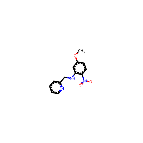 COc1ccc([N+](=O)[O-])c(NCc2ccccn2)c1